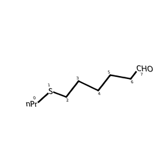 CCCSCCCCCC=O